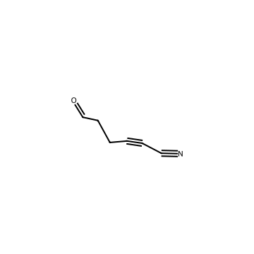 N#CC#CCCC=O